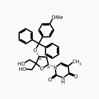 COc1ccc(C(O[C@@H]2C[C@H](n3cc(C)c(=O)[nH]c3=O)OC2(CO)CO)(c2ccccc2)c2ccccc2)cc1